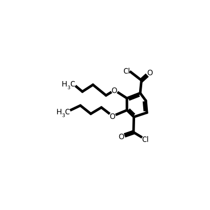 CCCCOc1c(C(=O)Cl)ccc(C(=O)Cl)c1OCCCC